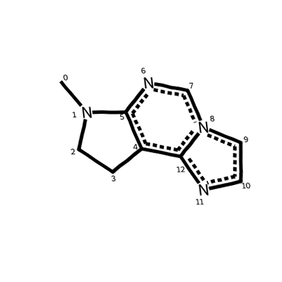 CN1CCc2c1ncn1ccnc21